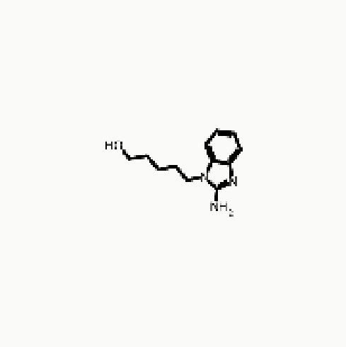 Nc1nc2ccccc2n1CCCCCO